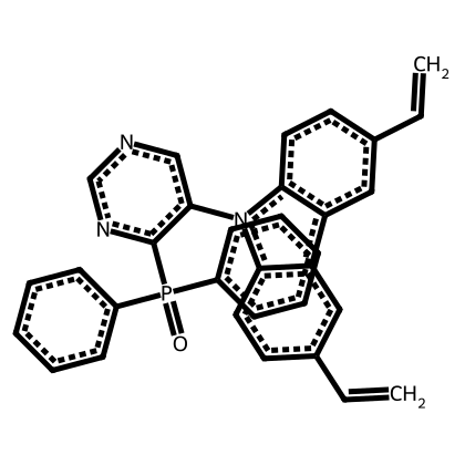 C=Cc1ccc2c(c1)c1cc(C=C)ccc1n2-c1cncnc1P(=O)(c1ccccc1)c1ccccc1